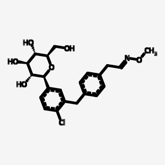 CON=CCc1ccc(Cc2cc([C@@H]3O[C@H](CO)[C@@H](O)[C@H](O)[C@H]3O)ccc2Cl)cc1